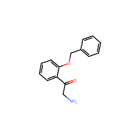 NCC(=O)c1ccccc1OCc1ccccc1